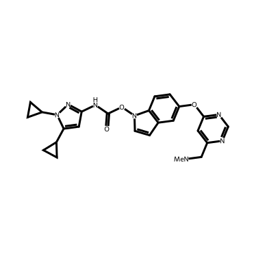 CNCc1cc(Oc2ccc3c(ccn3OC(=O)Nc3cc(C4CC4)n(C4CC4)n3)c2)ncn1